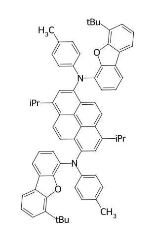 Cc1ccc(N(c2cc(C(C)C)c3ccc4c(N(c5ccc(C)cc5)c5cccc6c5oc5c(C(C)(C)C)cccc56)cc(C(C)C)c5ccc2c3c54)c2cccc3c2oc2c(C(C)(C)C)cccc23)cc1